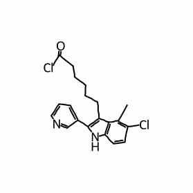 Cc1c(Cl)ccc2[nH]c(-c3cccnc3)c(CCCCCC(=O)Cl)c12